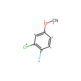 N#COc1ccc(F)c(Cl)c1